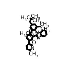 Cc1ccc2c(n1)oc1c(-c3nc4ccccc4n3-c3c(C(C)C)cc(CC(C)(C)C)cc3C(C)C)c(C)ccc12